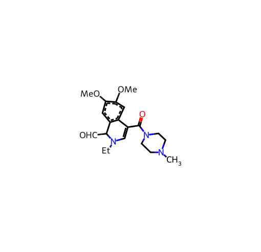 CCN1C=C(C(=O)N2CCN(C)CC2)c2cc(OC)c(OC)cc2C1C=O